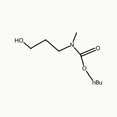 CCCCOC(=O)N(C)CCCO